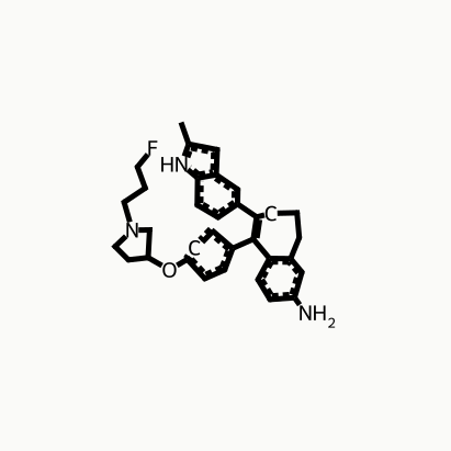 Cc1cc2cc(C3=C(c4ccc(OC5CCN(CCCF)C5)cc4)c4ccc(N)cc4CCC3)ccc2[nH]1